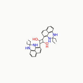 CCC1(CC)Nc2cccc3ccc(C4C(O)C(c5ccc6cccc7c6c5NC(CC)(CC)N7)C4O)c(c23)N1